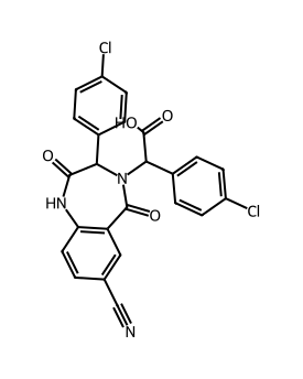 N#Cc1ccc2c(c1)C(=O)N(C(C(=O)O)c1ccc(Cl)cc1)C(c1ccc(Cl)cc1)C(=O)N2